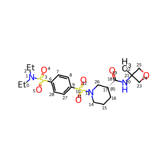 CCN(CC)S(=O)(=O)c1ccc(S(=O)(=O)N2CCC[C@@H](C(=O)NC3(C)COC3)C2)cc1